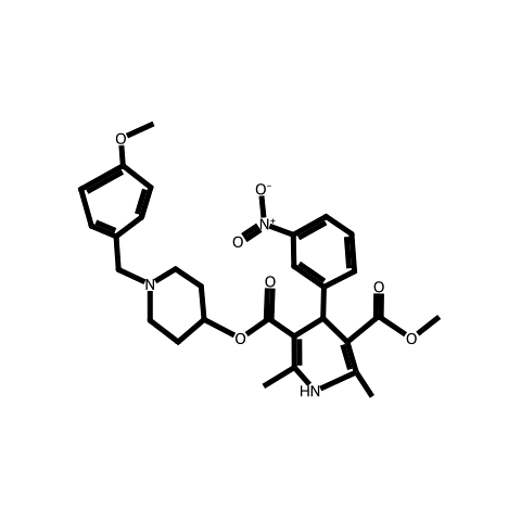 COC(=O)C1=C(C)NC(C)=C(C(=O)OC2CCN(Cc3ccc(OC)cc3)CC2)C1c1cccc([N+](=O)[O-])c1